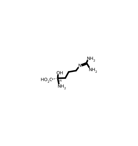 NC(N)=NCCC[C@@](N)(O)C(=O)O